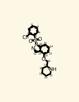 O=S(=O)(c1ccccc1Cl)n1ncc2c(OCC3CCCCN3)cccc21